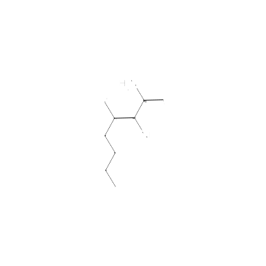 CCCCC(C)C(N)C(C)N